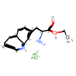 Cl.Cl.N[C@@H](Cc1ccc2cccnc2c1)C(=O)OCC(F)(F)F